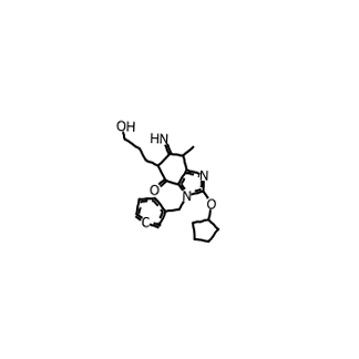 CC1C(=N)C(CCCO)C(=O)c2c1nc(OC1CCCC1)n2Cc1ccccc1